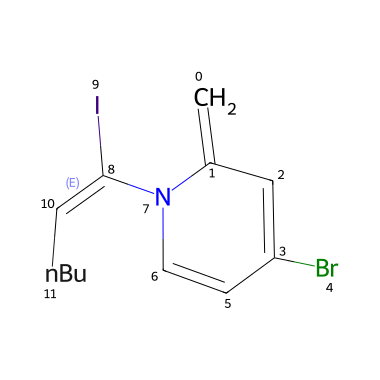 C=C1C=C(Br)C=CN1/C(I)=C\CCCC